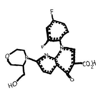 O=C(O)c1cn(-c2ccc(F)cc2F)c2nc(N3CCOCC3CO)ccc2c1=O